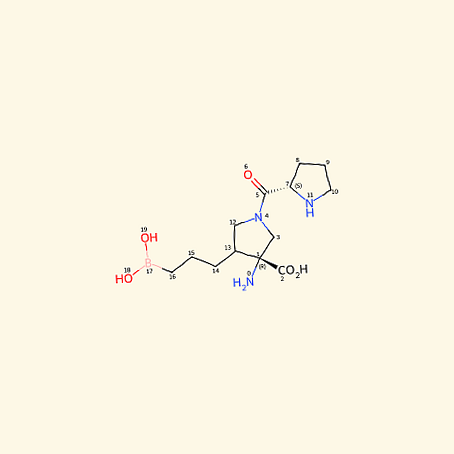 N[C@@]1(C(=O)O)CN(C(=O)[C@@H]2CCCN2)CC1CCCB(O)O